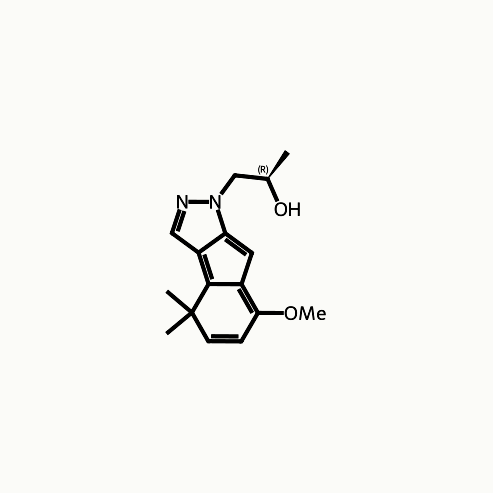 COC1=C2C=c3c(cnn3C[C@@H](C)O)=C2C(C)(C)C=C1